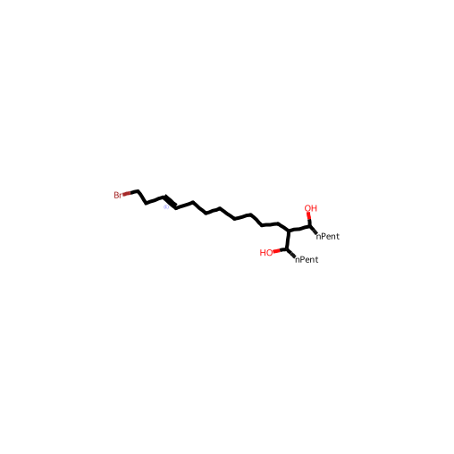 CCCCCC(O)C(CCCCCCC/C=C/CCBr)C(O)CCCCC